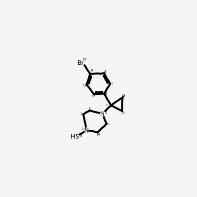 SN1CCN(C2(c3ccc(Br)cc3)CC2)CC1